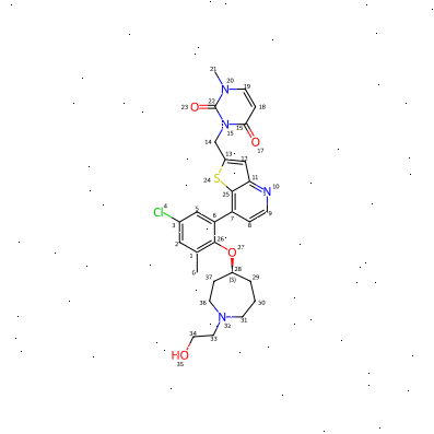 Cc1cc(Cl)cc(-c2ccnc3cc(Cn4c(=O)ccn(C)c4=O)sc23)c1O[C@H]1CCCN(CCO)CC1